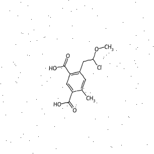 COC(Cl)Cc1cc(C)c(C(=O)O)cc1C(=O)O